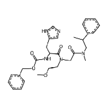 COCCN(CC(=O)N(C)CC(C)c1ccccc1)C(=O)C(Cc1cnc[nH]1)NC(=O)OCc1ccccc1